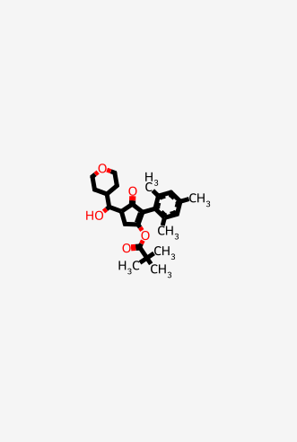 Cc1cc(C)c(C2=C(OC(=O)C(C)(C)C)CC(C(O)C3CCOCC3)C2=O)c(C)c1